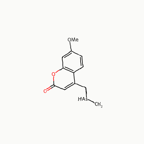 COc1ccc2c(C[AsH]C)cc(=O)oc2c1